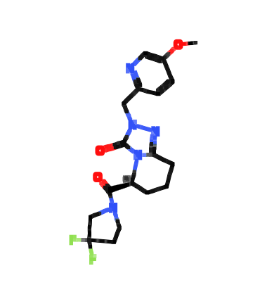 COc1ccc(Cn2nc3n(c2=O)[C@H](C(=O)N2CCC(F)(F)C2)CCC3)nc1